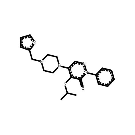 CC(C)Sc1c(N2CCN(Cc3cccs3)CC2)cnn(-c2ccccc2)c1=O